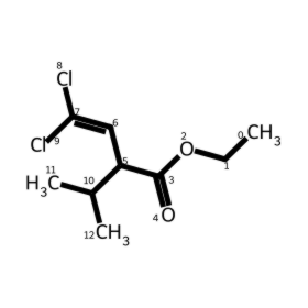 CCOC(=O)C(C=C(Cl)Cl)C(C)C